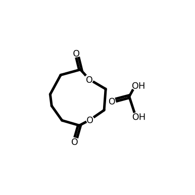 O=C(O)O.O=C1CCCCC(=O)OCCO1